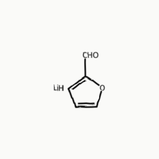 O=Cc1ccco1.[LiH]